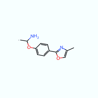 [CH2]C(N)Oc1ccc(-c2nc(C)co2)cc1